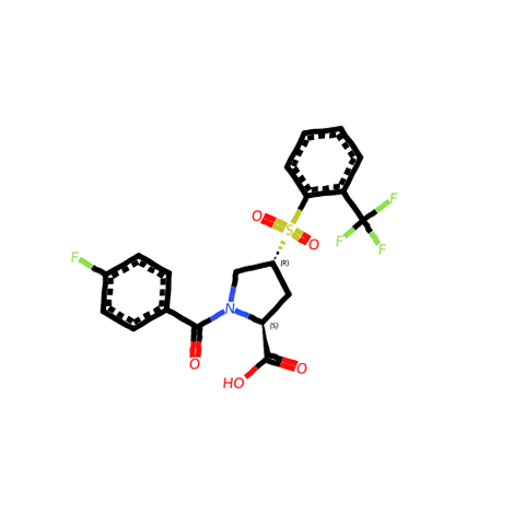 O=C(O)[C@@H]1C[C@@H](S(=O)(=O)c2ccccc2C(F)(F)F)CN1C(=O)c1ccc(F)cc1